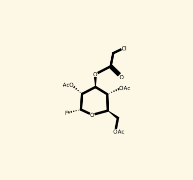 CC(=O)OC[C@H]1O[C@H](F)[C@H](OC(C)=O)[C@@H](OC(=O)CCl)[C@@H]1OC(C)=O